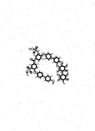 COc1ccc(-c2ccc(Oc3ccc(C(=O)c4ccc(Oc5ccc(-c6ccc(Oc7c(F)c(F)c(-c8c(F)c(F)c(C)c(F)c8F)c(F)c7F)cc6)cc5)c(CS(=O)(=O)O)c4)cc3S(=O)(=O)OC)cc2)cc1